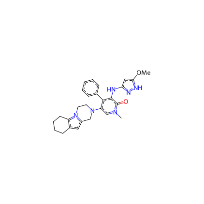 COc1cc(Nc2c(-c3ccccc3)c(N3CCn4c(cc5c4CCCC5)C3)cn(C)c2=O)n[nH]1